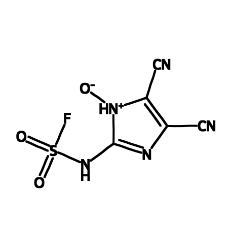 N#CC1=C(C#N)[NH+]([O-])C(NS(=O)(=O)F)=N1